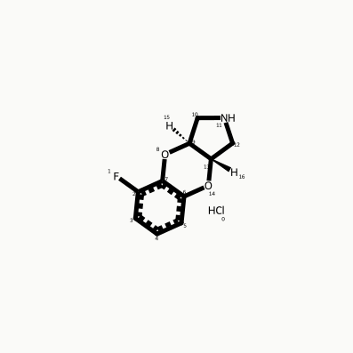 Cl.Fc1cccc2c1O[C@H]1CNC[C@@H]1O2